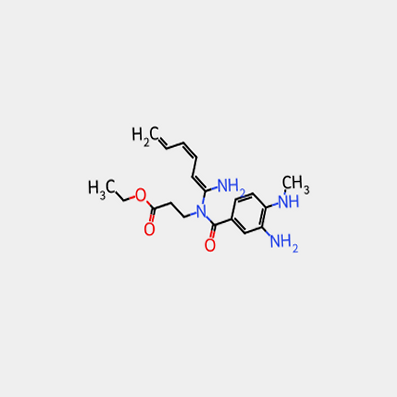 C=C/C=C\C=C(/N)N(CCC(=O)OCC)C(=O)c1ccc(NC)c(N)c1